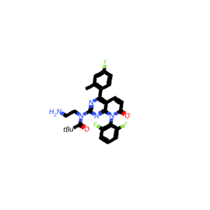 Cc1cc(F)ccc1-c1nc(N(CCN)C(=O)C(C)(C)C)nc2c1ccc(=O)n2-c1c(F)cccc1F